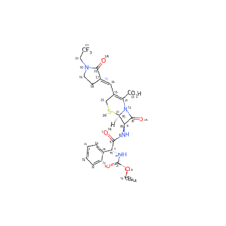 CC(C)(C)OC(=O)N[C@@H](C(=O)N[C@@H]1C(=O)N2C(C(=O)O)=C(/C=C3\CCN(CC(F)(F)F)C3=O)CS[C@H]12)c1ccccc1